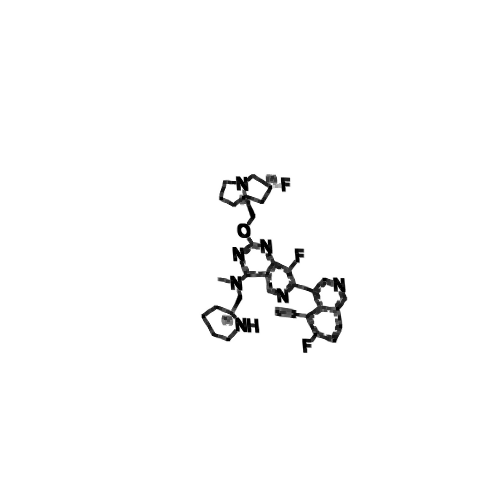 C#Cc1c(F)ccc2cncc(-c3ncc4c(N(C)C[C@@H]5CCCCN5)nc(OC[C@@]56CCCN5C[C@H](F)C6)nc4c3F)c12